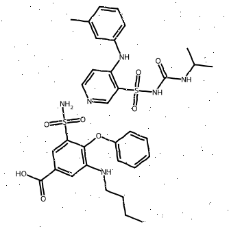 CCCCNc1cc(C(=O)O)cc(S(N)(=O)=O)c1Oc1ccccc1.Cc1cccc(Nc2ccncc2S(=O)(=O)NC(=O)NC(C)C)c1